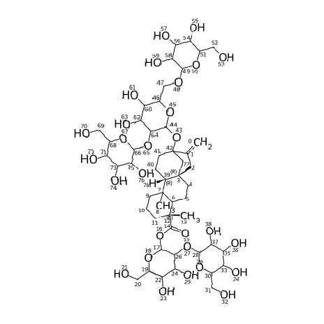 C=C1C[C@@]23CCC4C(C)(CCC[C@@]4(C)C(=O)OC4OC(CO)C(O)C(O)C4OC4OC(CO)C(O)C(O)C4O)[C@@H]2CCC1(OC1OC(COC2OC(CO)C(O)C(O)C2O)C(O)C(O)C1OC1OC(CO)C(O)C(O)C1O)C3